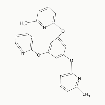 Cc1cccc(Oc2cc(Oc3ccccn3)cc(Oc3cccc(C)n3)c2)n1